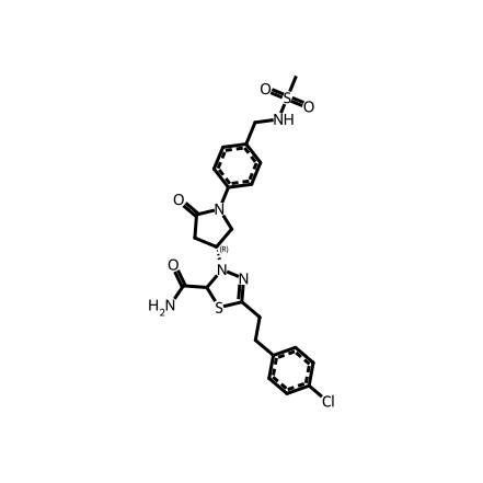 CS(=O)(=O)NCc1ccc(N2C[C@H](N3N=C(CCc4ccc(Cl)cc4)SC3C(N)=O)CC2=O)cc1